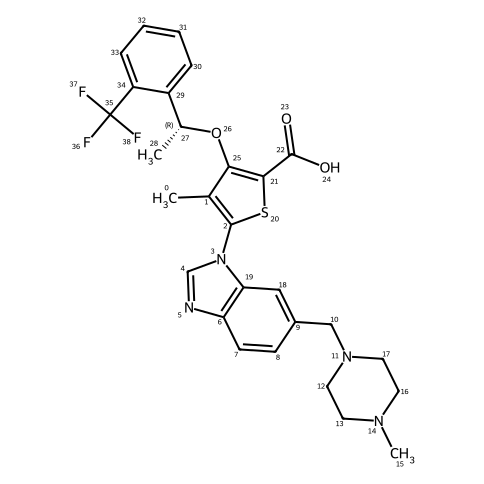 Cc1c(-n2cnc3ccc(CN4CCN(C)CC4)cc32)sc(C(=O)O)c1O[C@H](C)c1ccccc1C(F)(F)F